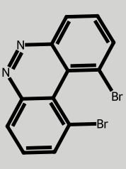 Brc1cccc2nnc3cccc(Br)c3c12